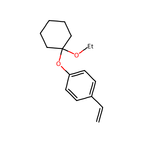 C=Cc1ccc(OC2(OCC)CCCCC2)cc1